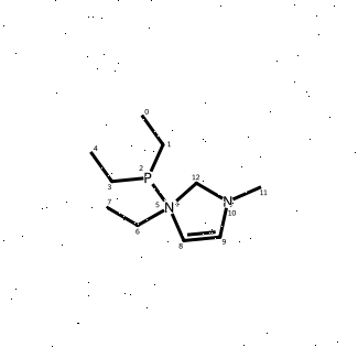 CCP(CC)[N+]1(CC)C=CN(C)C1